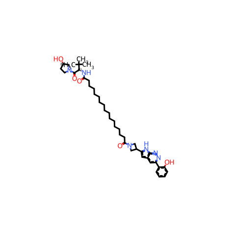 CC(C)(C)[C@H](NC(=O)CCCCCCCCCCCCCCCC(=O)N1CC(c2cc3cc(-c4ccccc4O)nnc3[nH]2)C1)C(=O)N1CC[C@@H](O)C1